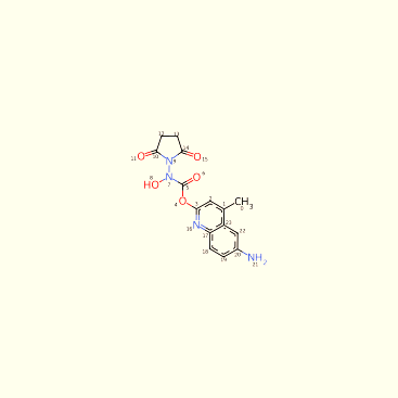 Cc1cc(OC(=O)N(O)N2C(=O)CCC2=O)nc2ccc(N)cc12